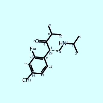 CC(C)NC[C@@H](C(=O)C(C)C)c1ccc(Cl)cc1F